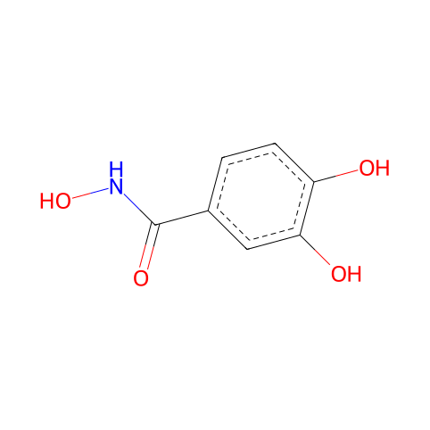 O=C(NO)c1ccc(O)c(O)c1